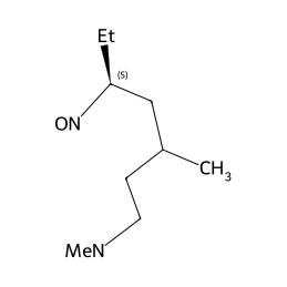 CC[C@@H](CC(C)CCNC)N=O